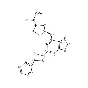 COC(=O)N1CC[C@H](Nc2nc(N3CC(c4ccccc4)C3)nc3c2SCC3)C1